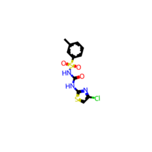 Cc1cccc(S(=O)(=O)NC(=O)Nc2nc(Cl)cs2)c1